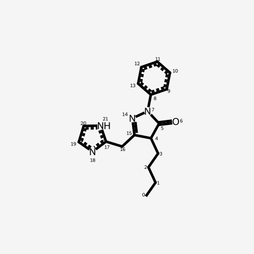 CCCCC1C(=O)N(c2ccccc2)N=C1Cc1ncc[nH]1